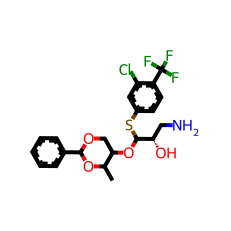 CC1OC(c2ccccc2)OCC1OC(Sc1ccc(C(F)(F)F)c(Cl)c1)[C@@H](O)CN